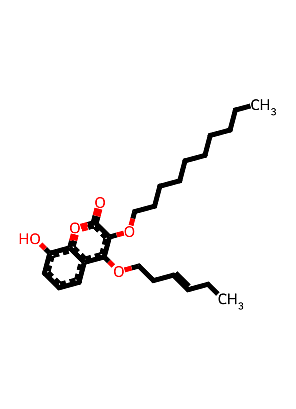 CCC=CCCOc1c(OCCCCCCCCCC)c(=O)oc2c(O)cccc12